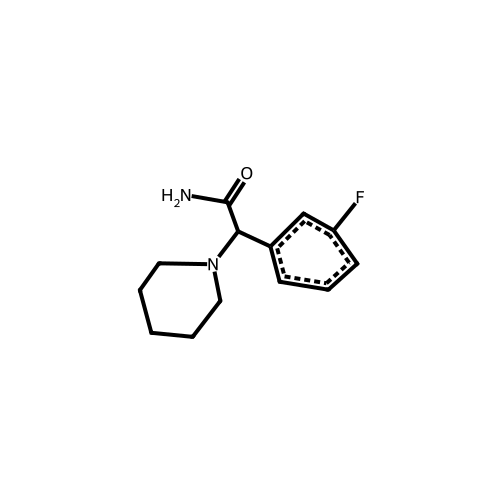 NC(=O)C(c1cccc(F)c1)N1CCCCC1